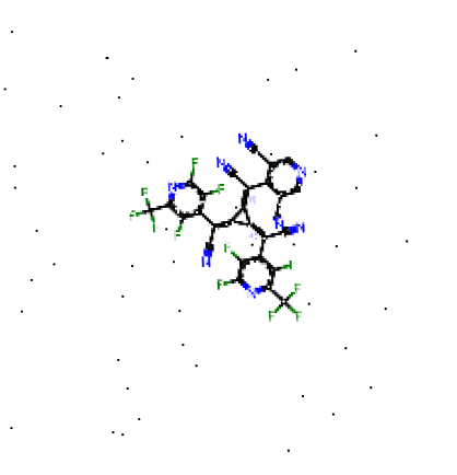 N#CC(=C1C(=C(\C#N)c2c(C#N)cncc2C#N)/C1=C(\C#N)c1c(F)c(F)nc(C(F)(F)F)c1F)c1c(F)c(F)nc(C(F)(F)F)c1F